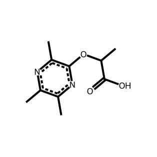 Cc1nc(C)c(OC(C)C(=O)O)nc1C